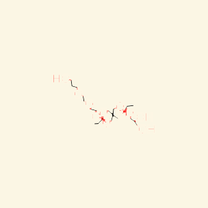 CCC1(OCCOCCOCCCO)OCC2(CO1)COC(CC)(OCC(O)CO)OC2